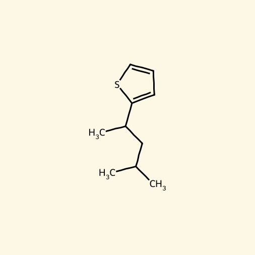 CC(C)CC(C)c1cccs1